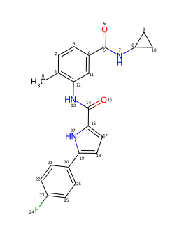 Cc1ccc(C(=O)NC2CC2)cc1NC(=O)c1ccc(-c2ccc(F)cc2)[nH]1